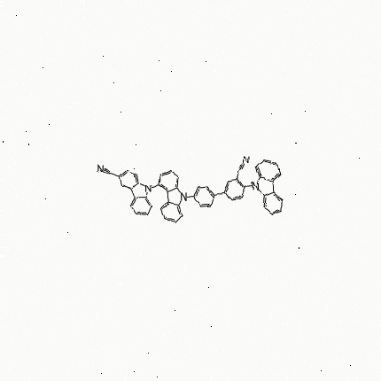 N#Cc1ccc2c(c1)c1ccccc1n2-c1cccc2c1c1ccccc1n2-c1ccc(-c2ccc(-n3c4ccccc4c4ccccc43)c(C#N)c2)cc1